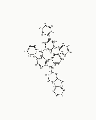 C1=C2Sc3ccccc3C2CC=C1n1c2ccccc2c2c1ccc1c3ccccc3n(-c3nc(-c4ccccc4)nc(-c4ccccc4)n3)c12